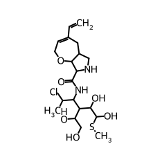 C=CC1=CCOC2C(CNC2C(=O)NC(C(C)Cl)C(C(O)CO)C(O)C(O)SC)C1